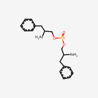 O=[PH](OCC([AsH2])Cc1ccccc1)OCC([AsH2])Cc1ccccc1